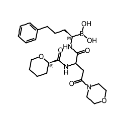 O=C(N[C@@H](CCCc1ccccc1)B(O)O)C(CC(=O)N1CCOCC1)NC(=O)[C@H]1CCCCO1